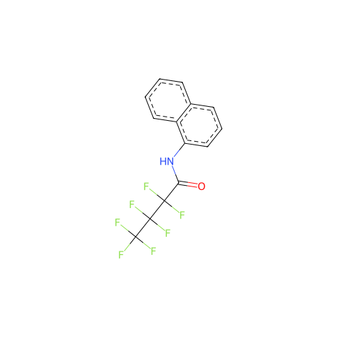 O=C(Nc1cccc2ccccc12)C(F)(F)C(F)(F)C(F)(F)F